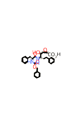 O=C(N[C@@H](Cc1ccccc1)C(=O)N[C@@H](CCc1ccccc1)[C@@H](O)[C@@H]1O[C@H]1C(=O)O)OCc1ccccc1